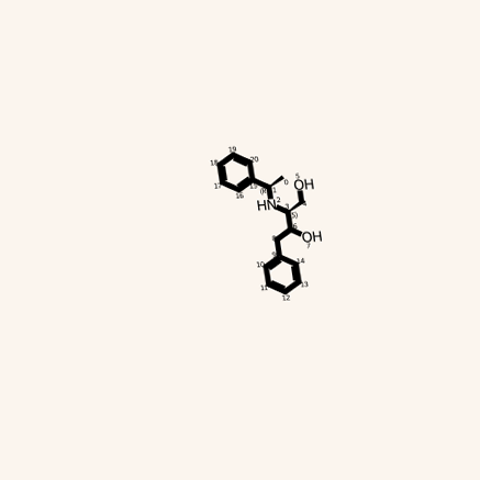 C[C@@H](N[C@@H](CO)C(O)Cc1ccccc1)c1ccccc1